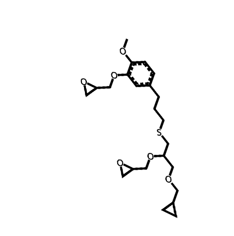 COc1ccc(CCCSCC(COCC2CC2)OCC2CO2)cc1OCC1CO1